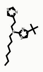 CCCCCCCN(CCc1cs[c]n1)c1nc(C(C)(C)C)cs1